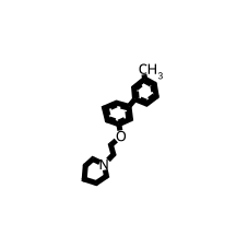 Cc1cccc(-c2cccc(OCCN3CCCCC3)c2)c1